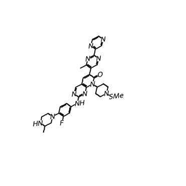 CSN1CCC(n2c(=O)c(-c3cnc(-c4cnccn4)nc3C)cc3cnc(Nc4ccc(N5CCNC(C)C5)c(F)c4)nc32)CC1